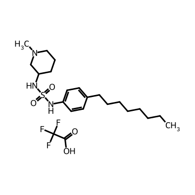 CCCCCCCCc1ccc(NS(=O)(=O)NC2CCCN(C)C2)cc1.O=C(O)C(F)(F)F